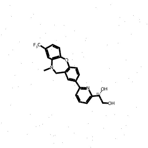 CN1Cc2cc(-c3cccc([C@H](O)CO)n3)ccc2Oc2ccc(C(F)(F)F)cc21